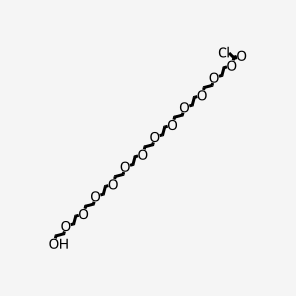 O=C(Cl)OCCOCCOCCOCCOCCOCCOCCOCCOCCOCCOCCOCCO